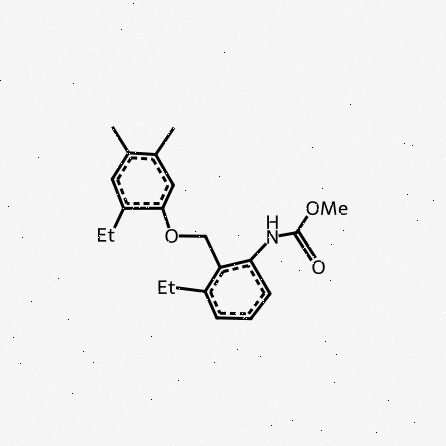 CCc1cc(C)c(C)cc1OCc1c(CC)cccc1NC(=O)OC